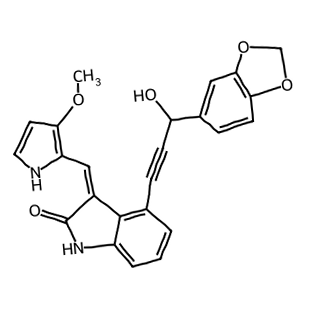 COc1cc[nH]c1/C=C1\C(=O)Nc2cccc(C#CC(O)c3ccc4c(c3)OCO4)c21